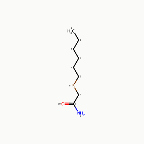 CCCCCCSCC(N)=O